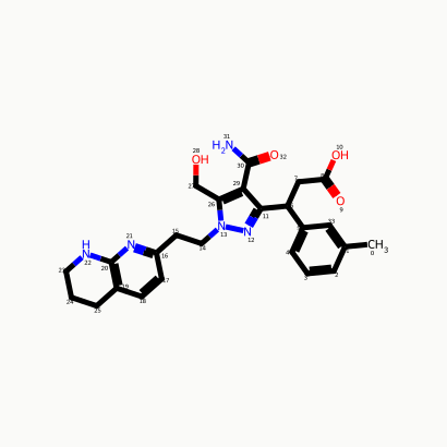 Cc1cccc(C(CC(=O)O)c2nn(CCc3ccc4c(n3)NCCC4)c(CO)c2C(N)=O)c1